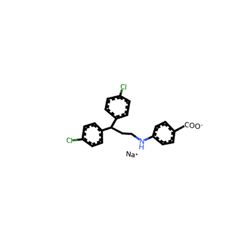 O=C([O-])c1ccc(NCCC(c2ccc(Cl)cc2)c2ccc(Cl)cc2)cc1.[Na+]